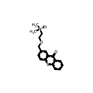 CC[N+](C)(C)CCOCc1ccc2sc3ccccc3c(=O)c2c1